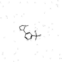 CN1CCCC1c1cncc(C(F)(F)F)c1